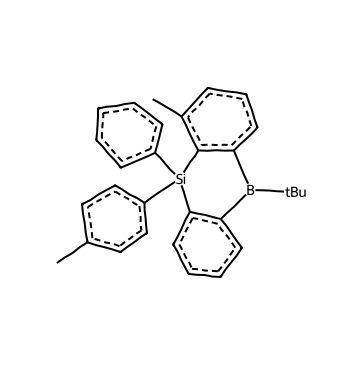 Cc1ccc([Si]2(c3ccccc3)c3ccccc3B(C(C)(C)C)c3cccc(C)c32)cc1